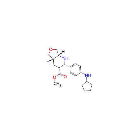 COC(=O)[C@@H]1C[C@@H]2COC[C@@H]2N[C@@H]1c1ccc(NC2CCCC2)cc1